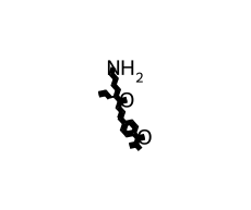 C=CC[C@@H](CCCCN)C(=O)C/C=C/c1ccc(C(=O)C(=C)C)cc1